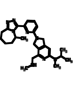 CNCc1nc(N(C)C(C)C)cc2c1CN(c1cccc(-c3nnc4n3C(C)CCCC4)n1)C2